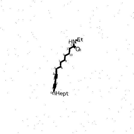 CCCCCCCC#CC#CCCCCCCCC(=O)NCC